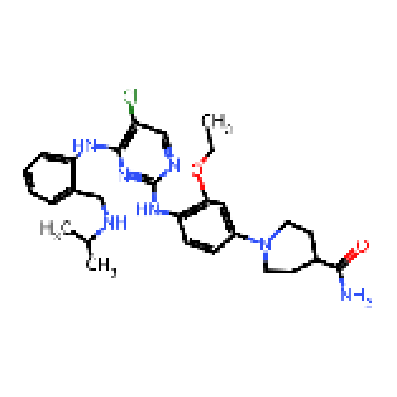 CCOc1cc(N2CCC(C(N)=O)CC2)ccc1Nc1ncc(Cl)c(Nc2ccccc2CNC(C)C)n1